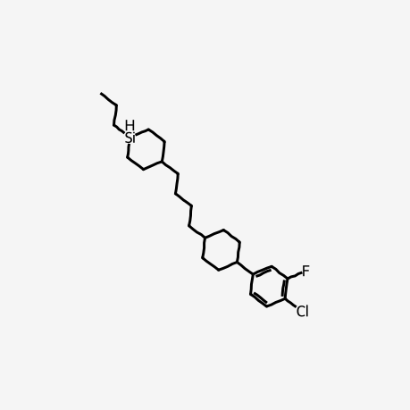 CCC[SiH]1CCC(CCCCC2CCC(c3ccc(Cl)c(F)c3)CC2)CC1